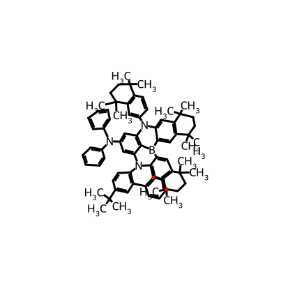 CC(C)(C)c1ccc(N2c3cc4c(cc3B3c5cc6c(cc5N(c5ccc7c(c5)C(C)(C)CCC7(C)C)c5cc(N(c7ccccc7)c7ccccc7)cc2c53)C(C)(C)CCC6(C)C)C(C)(C)CCC4(C)C)c(-c2ccccc2)c1